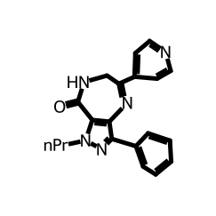 CCCn1nc(-c2ccccc2)c2c1C(=O)NCC(c1ccncc1)=N2